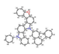 c1ccc(-n2c3ccccc3c3c2ccc2c4c5c(ccc4n(-c4cc6c7c(cccc7c4)-c4ccccc4-6)c23)oc2ccccc25)cc1